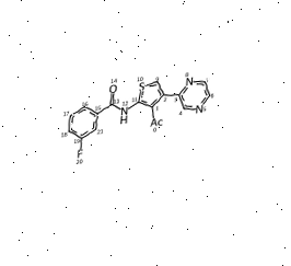 CC(=O)c1c(-c2cnccn2)csc1NC(=O)c1cccc(F)c1